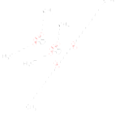 CCCCCCCCCCCCCCCCCCCCOC(=O)CCCCCCCCC(=O)OCCCCCCCCCCCCCCCCCCCC.CCCCCCCCCCOC(=O)c1ccccc1C(=O)OCCCCCCCCCC.CCCCCCCCOC(=O)c1ccccc1C(=O)OCCCCCCCC